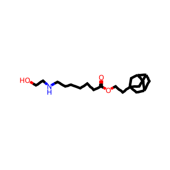 O=C(CCCCCCNCCO)OCCC12CC3CC(C1)C(C3)C2